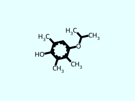 Cc1cc(OC(C)C)c(C)c(C)c1O